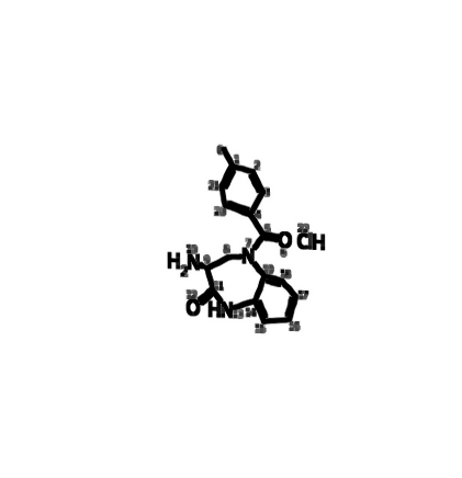 Cc1ccc(C(=O)N2C[C@H](N)C(=O)Nc3ccccc32)cc1.Cl